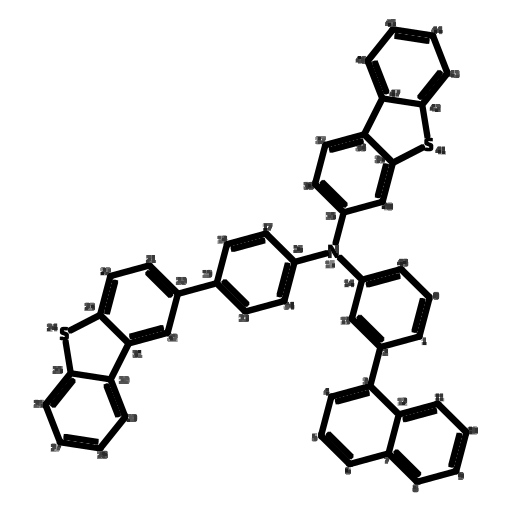 c1cc(-c2cccc3ccccc23)cc(N(c2ccc(-c3ccc4sc5ccccc5c4c3)cc2)c2ccc3c(c2)sc2ccccc23)c1